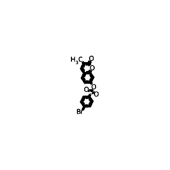 Cc1cc2ccc(OS(=O)(=O)c3ccc(Br)cc3)cc2oc1=O